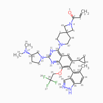 C=CC(=O)N1CC2(CCN(c3nc(N4CC[C@@H](N(C)C)C4)nc4c(OCC(F)(F)F)c(-c5c(C)ccc6[nH]ncc56)c(C5CC5)cc34)CC2)C1